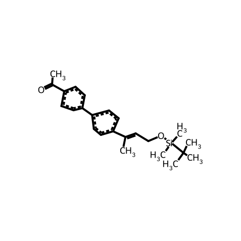 CC(=O)c1ccc(-c2ccc(C(C)=CCO[Si](C)(C)C(C)(C)C)cc2)cc1